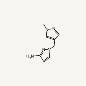 Cn1cc(Cn2ccc(N)n2)cn1